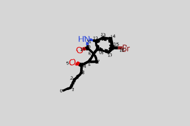 CCCCC(=O)C1CC12C(=O)Nc1ccc(Br)cc12